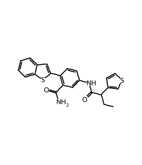 CCC(C(=O)Nc1ccc(-c2cc3ccccc3s2)c(C(N)=O)c1)c1ccsc1